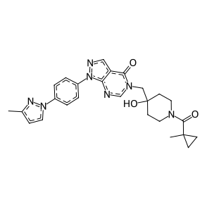 Cc1ccn(-c2ccc(-n3ncc4c(=O)n(CC5(O)CCN(C(=O)C6(C)CC6)CC5)cnc43)cc2)n1